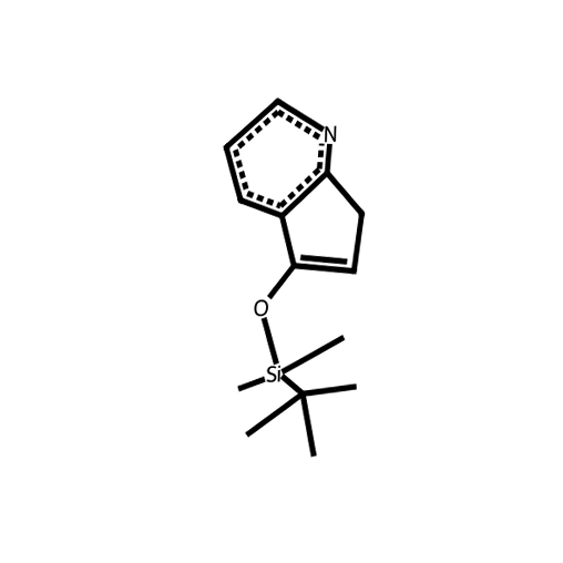 CC(C)(C)[Si](C)(C)OC1=CCc2ncccc21